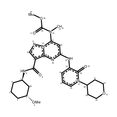 CO[C@@H]1CCC[C@@H](NC(=O)c2cnn3c(N(C)C(=O)OC(C)(C)C)cc(Nc4cccn(C5CCOCC5)c4=O)nc23)C1